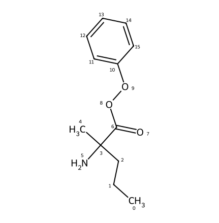 CCCC(C)(N)C(=O)OOc1ccccc1